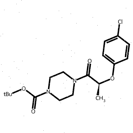 C[C@H](Oc1ccc(Cl)cc1)C(=O)N1CCN(C(=O)OC(C)(C)C)CC1